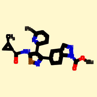 CC(C)c1cccc(-c2c(-c3ccc4c(cnn4C(=O)OC(C)(C)C)c3)nsc2NC(=O)[C@@H]2C[C@H]2C)n1